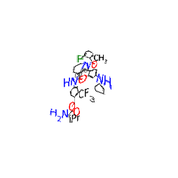 Cc1cccc(F)c1C(=O)N1CCC[C@H](C(=O)Nc2ccc(COC(=O)C(N)C(C)C)c(C(F)(F)F)c2)[C@@H]1c1ccc(NC2CCCC2)cc1